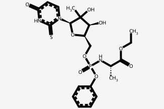 CCOC(=O)[C@H](C)NP(=O)(OC[C@H]1O[C@@H](n2ccc(=O)[nH]c2=S)C(C)(O)[C@H]1O)Oc1ccccc1